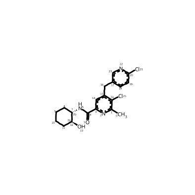 Cc1nc(C(=O)N[C@H]2CCCC[C@@H]2O)cc(Cc2ccc(Cl)nc2)c1Cl